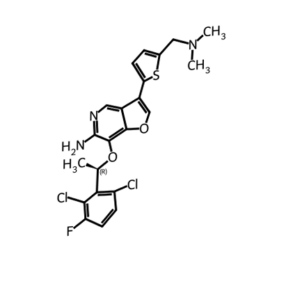 C[C@@H](Oc1c(N)ncc2c(-c3ccc(CN(C)C)s3)coc12)c1c(Cl)ccc(F)c1Cl